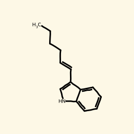 CCCC/C=C/c1c[nH]c2ccccc12